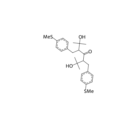 CSc1ccc(CC(C(=O)C(Cc2ccc(SC)cc2)C(C)(C)O)C(C)(C)O)cc1